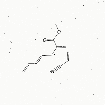 C=CC#N.C=CC=CCC(=C)C(=O)OC